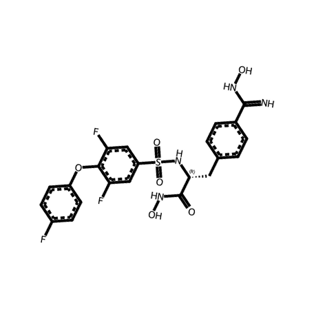 N=C(NO)c1ccc(C[C@@H](NS(=O)(=O)c2cc(F)c(Oc3ccc(F)cc3)c(F)c2)C(=O)NO)cc1